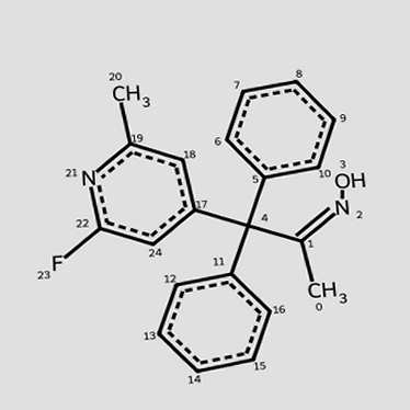 C/C(=N/O)C(c1ccccc1)(c1ccccc1)c1cc(C)nc(F)c1